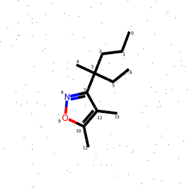 CCCC(C)(CC)c1noc(C)c1C